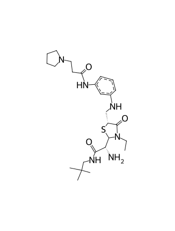 CCN1C(=O)[C@@H](CNc2cccc(NC(=O)CCN3CCCC3)c2)SC1[C@H](N)C(=O)NCC(C)(C)C